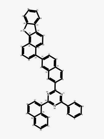 c1ccc(-c2nc(-c3ccc4ccc(-c5cccc6c5ccc5c7ccccc7sc65)cc4c3)nc(-c3cccc4ccccc34)n2)cc1